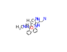 CNCCC(Oc1ccccc1-n1nc2c(CC#N)nnc(C)c2c1C)c1ccccc1